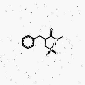 COC(=O)C(Cc1ccccc1)CS(=O)(=O)Cl